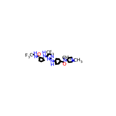 CN1CCC(N(C)C(=O)c2ccc(Nc3ncc(C(F)(F)F)c(N[C@@H]4CCC[C@@H]4C(=O)NCC(F)(F)F)n3)cc2)CC1